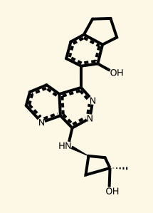 C[C@]1(O)C[C@@H](Nc2nnc(-c3ccc4c(c3O)CCC4)c3cccnc23)C1